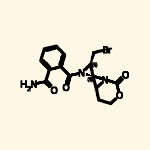 NC(=O)c1ccccc1C(=O)N1[C@@H](CBr)[C@@]12C1CCOC(=O)N12